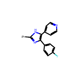 CC(C)c1nc(-c2ccc(F)cc2)c(-c2ccncc2)[nH]1